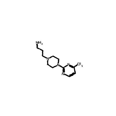 NCCCN1CCN(c2nccc(C(F)(F)F)n2)CC1